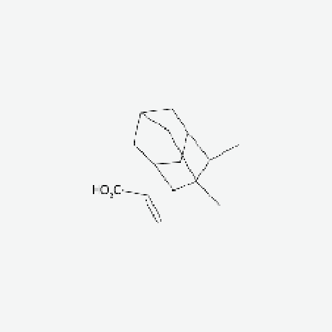 C=CC(=O)O.CC1C2CC3CC(C2)CC1(C)C3